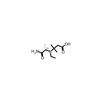 CCN([C@@H](C)C(N)=O)C(C)(C)CC(=O)O